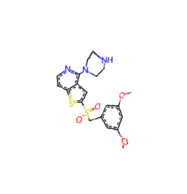 COc1cc(CS(=O)(=O)c2cc3c(N4CCNCC4)nccc3s2)cc(OC)c1